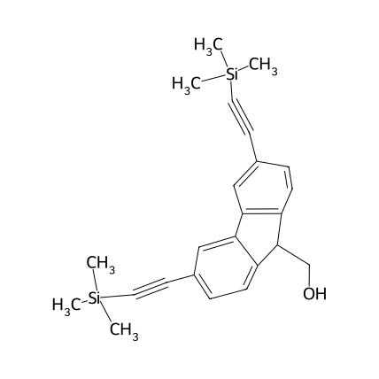 C[Si](C)(C)C#Cc1ccc2c(c1)-c1cc(C#C[Si](C)(C)C)ccc1C2CO